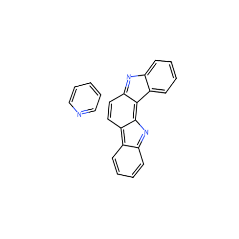 c1ccc2c(c1)N=c1ccc3c(c1-2)N=c1ccccc1=3.c1ccncc1